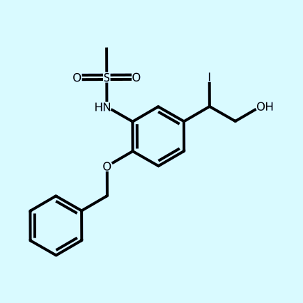 CS(=O)(=O)Nc1cc(C(I)CO)ccc1OCc1ccccc1